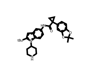 CC1(C)Oc2ccc(C3(C(=O)Nc4ccc5c(c4)cc(C(C)(C)C)n5C4CCNCC4)CC3)cc2O1